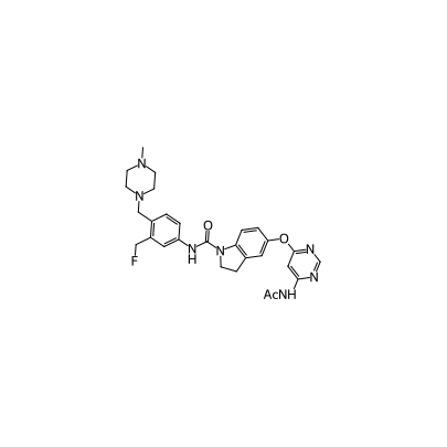 CC(=O)Nc1cc(Oc2ccc3c(c2)CCN3C(=O)Nc2ccc(CN3CCN(C)CC3)c(CF)c2)ncn1